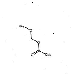 CCCOCOC(=O)OCC(C)C